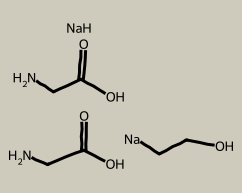 NCC(=O)O.NCC(=O)O.OC[CH2][Na].[NaH]